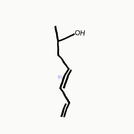 C=C/C=C/CC(C)O